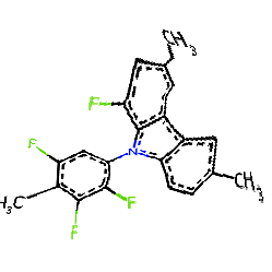 Cc1ccc2c(c1)c1cc(C)cc(F)c1n2-c1cc(F)c(C)c(F)c1F